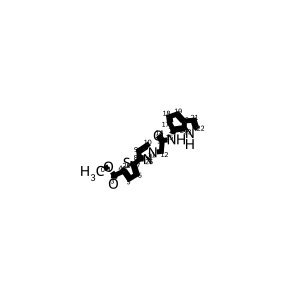 COC(=O)c1ccc(-c2ccn(CC(=O)Nc3cccc4cc[nH]c34)n2)s1